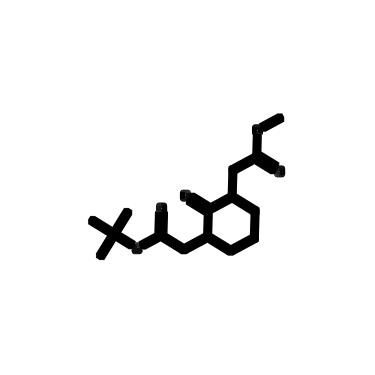 COC(=O)CC1CCCC(CC(=O)OC(C)(C)C)C1=O